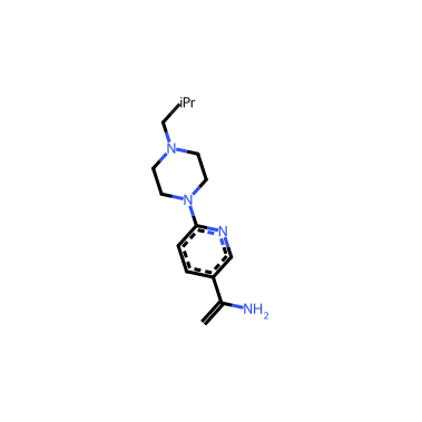 C=C(N)c1ccc(N2CCN(CC(C)C)CC2)nc1